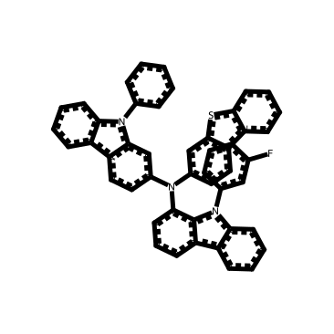 Fc1cccc(-n2c3ccccc3c3cccc(N(c4ccc5c(c4)sc4ccccc45)c4ccc5c6ccccc6n(-c6ccccc6)c5c4)c32)c1